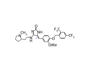 COc1cc(/C=C2\NC(=O)N=C2NCCC2CCCN2C)ccc1OCc1ccc(C(F)(F)F)cc1C(F)(F)F